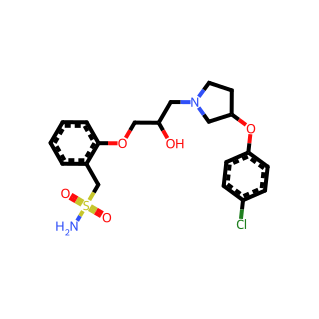 NS(=O)(=O)Cc1ccccc1OCC(O)CN1CCC(Oc2ccc(Cl)cc2)C1